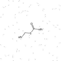 CCC[CH]SC(=O)CCC